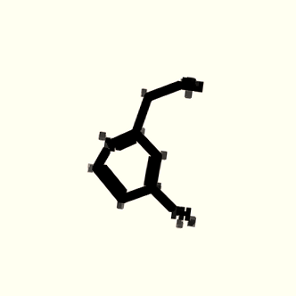 CC(C)(C)Cc1cc(P)ccn1